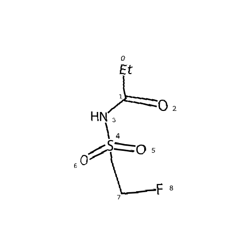 CCC(=O)NS(=O)(=O)CF